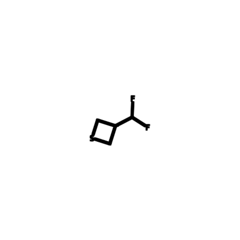 FC(F)[C]1CSC1